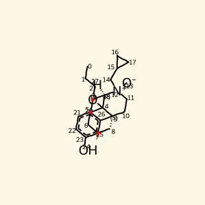 CCCOC12CCCC[C@@]13CC[N+]([O-])(CC1CC1)[C@@H]2Cc1ccc(O)cc13